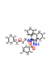 Cc1ccc(S(=O)(=O)N[C@@H](c2ccccc2)[C@@H](NCCOCC2=CCC=CC2)c2ccccc2)cc1